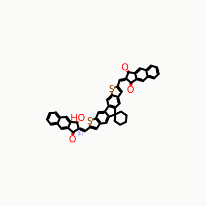 O=C1C(=Cc2cc3cc4c(cc3s2)-c2cc3sc(/C=C5/C(=O)c6cc7ccccc7cc6C5O)cc3cc2C42CCCCC2)C(=O)c2cc3ccccc3cc21